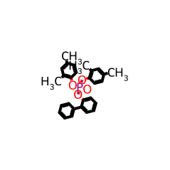 Cc1ccc(OP(=O)(Oc2ccc(C)cc2C)Oc2ccccc2-c2ccccc2)c(C)c1